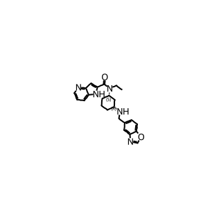 CCN(C(=O)c1cc2ncccc2[nH]1)[C@H]1CCC[C@@H](NCc2ccc3ocnc3c2)C1